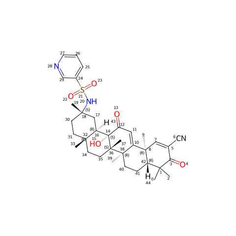 CC1(C)C(=O)C(C#N)=C[C@]2(C)C3=CC(=O)[C@]4(O)[C@@H]5C[C@@](C)(NS(=O)(=O)c6cccnc6)CC[C@@]5(C)CC[C@@]4(C)[C@]3(C)CC[C@@H]12